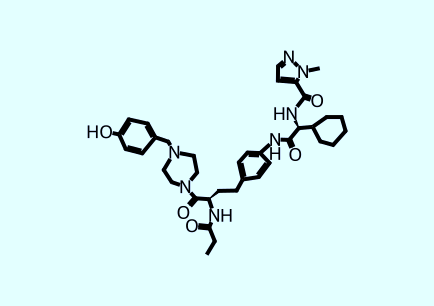 CCC(=O)N[C@H](CCc1ccc(NC(=O)[C@@H](NC(=O)c2ccnn2C)C2CCCCC2)cc1)C(=O)N1CCN(Cc2ccc(O)cc2)CC1